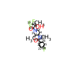 C[C@H]1CN(C(=O)[C@@](C)(O)C(F)(F)F)CC[C@H]1N(C)C(=O)c1ccc(F)cc1